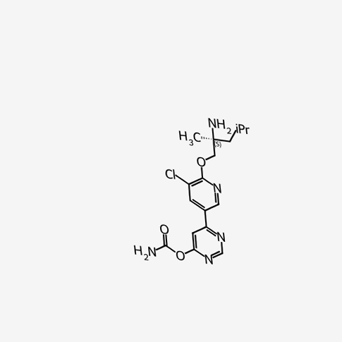 CC(C)C[C@](C)(N)COc1ncc(-c2cc(OC(N)=O)ncn2)cc1Cl